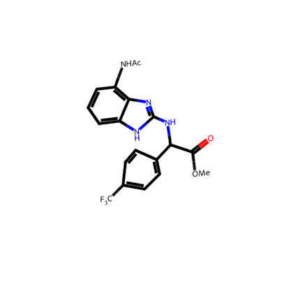 COC(=O)C(Nc1nc2c(NC(C)=O)cccc2[nH]1)c1ccc(C(F)(F)F)cc1